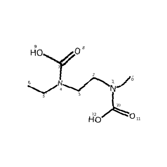 [CH2]N(CCN([CH]C)C(=O)O)C(=O)O